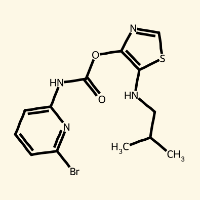 CC(C)CNc1scnc1OC(=O)Nc1cccc(Br)n1